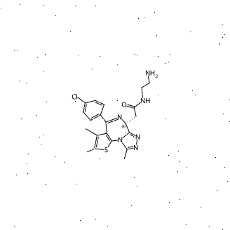 Cc1sc2c(c1C)C(c1ccc(Cl)cc1)=N[C@H](CC(=O)NCCN)c1nnc(C)n1-2